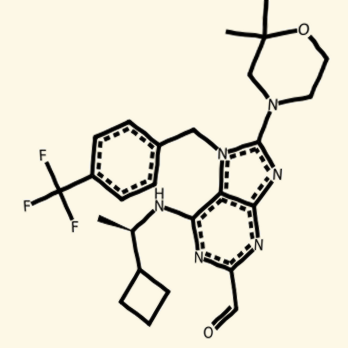 C[C@@H](Nc1nc(C=O)nc2nc(N3CCOC(C)(C)C3)n(Cc3ccc(C(F)(F)F)cc3)c12)C1CCC1